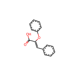 O=C(O)C(=Cc1ccccc1)Oc1ccccc1